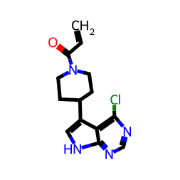 C=CC(=O)N1CCC(c2c[nH]c3ncnc(Cl)c23)CC1